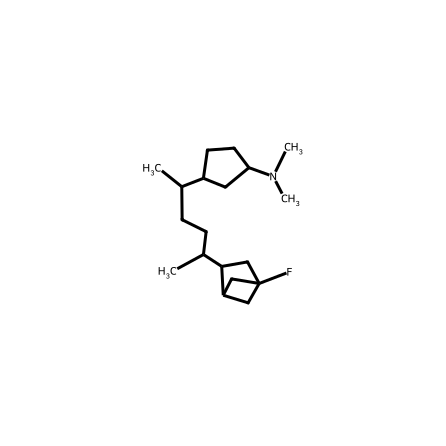 CC(CCC(C)C1CC2(F)CC1C2)C1CCC(N(C)C)C1